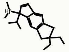 CCC1(CC)Cc2cc3c(cc2C1)[C](C(C)C)([Hf]([CH3])[CH3])C=C3